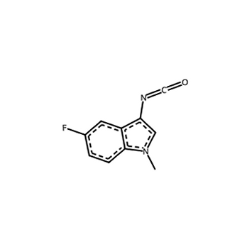 Cn1cc(N=C=O)c2cc(F)ccc21